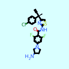 C#C[C@@](C)(c1ccc(Cl)cc1)c1csc(NC(=O)c2c(F)cc(N3CCC(N)C3)cc2F)n1